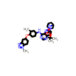 Cc1cc(Nc2ncnc3ccc(N4C5CC4CN(C(=O)OC(C)(C)C)C5)nc23)ccc1Oc1ccc2c(c1)nnn2C